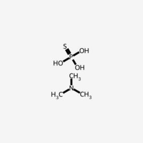 CN(C)C.OP(O)(O)=S